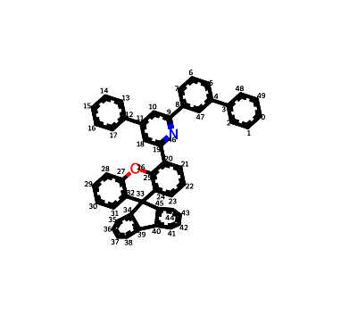 c1ccc(-c2cccc(-c3cc(-c4ccccc4)cc(-c4cccc5c4Oc4ccccc4C54c5ccccc5-c5ccccc54)n3)c2)cc1